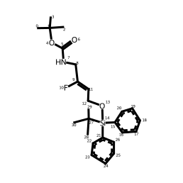 CC(C)(C)OC(=O)NCC(F)=CCO[Si](c1ccccc1)(c1ccccc1)C(C)(C)C